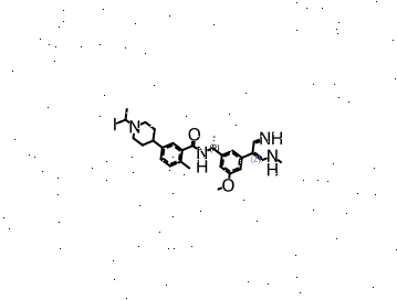 CN/C=C(\C=N)c1cc(OC)cc([C@@H](C)NC(=O)c2cc(C3CCN(C(C)I)CC3)ccc2C)c1